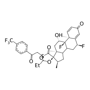 CCC(=O)O[C@]1(C(=O)SCC(=O)c2ccc(C(F)(F)F)cc2)[C@H](C)CC2C3C[C@H](F)C4=CC(=O)C=C[C@]4(C)[C@@]3(F)[C@@H](O)C[C@@]21C